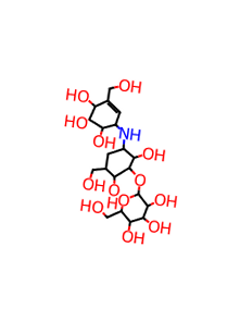 OCC1=CC(NC2CC(CO)C(O)C(OC3OC(CO)C(O)C(O)C3O)C2O)C(O)C(O)C1O